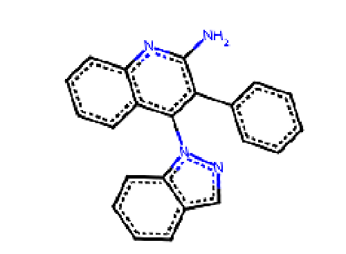 Nc1nc2ccccc2c(-n2ncc3ccccc32)c1-c1ccccc1